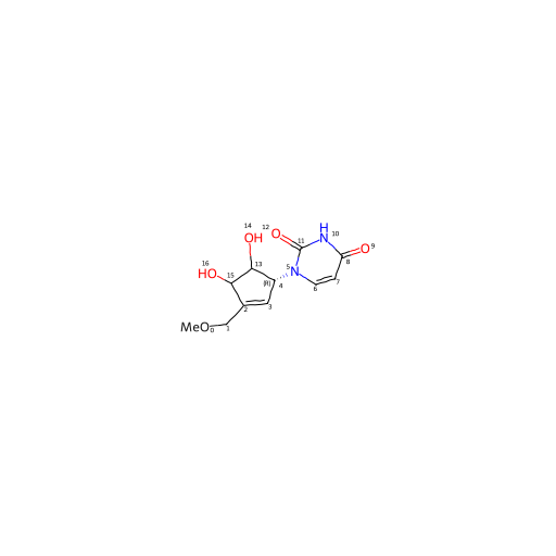 COCC1=C[C@@H](n2ccc(=O)[nH]c2=O)C(O)C1O